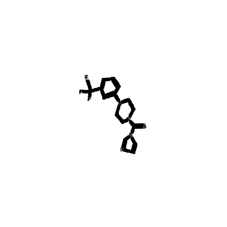 FC(F)(F)c1cccc(N2CCN(C(=S)n3ccnc3)CC2)c1